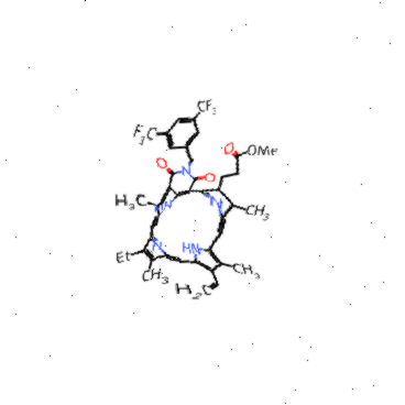 C=Cc1c(C)c2cc3nc(c4c5[nH]c(cc6nc(cc1[nH]2)C(C)=C6CC)c(C)c5C(=O)N(Cc1cc(C(F)(F)F)cc(C(F)(F)F)c1)C4=O)[C@@H](CCC(=O)OC)C3C